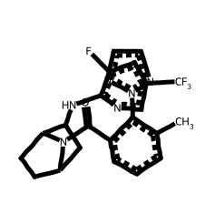 Cc1cccc(C(=O)N2C3CCC2C(Nc2ncc(C(F)(F)F)cc2F)C3)c1-n1nccn1